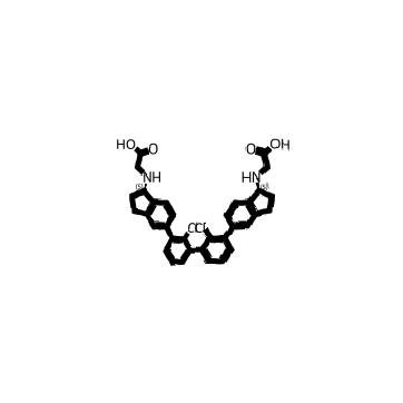 O=C(O)CN[C@H]1CCc2cc(-c3cccc(-c4cccc(-c5ccc6c(c5)CC[C@@H]6NCC(=O)O)c4Cl)c3Cl)ccc21